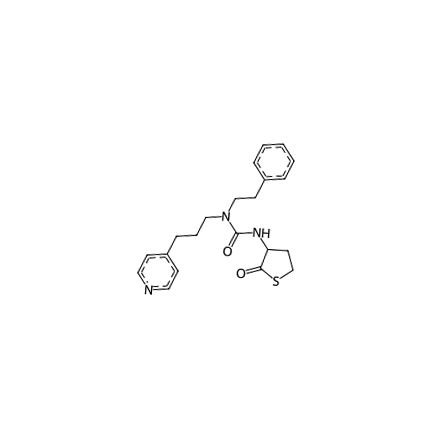 O=C1SCCC1NC(=O)N(CCCc1ccncc1)CCc1ccccc1